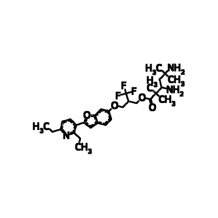 CCc1ccc(-c2cc3ccc(OCC(COC(=O)C(C)(C)C(N)CC(C)(C)N)C(F)(F)F)cc3o2)c(CC)n1